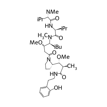 CCC(C)[C@@H]([C@@H](CC(=O)N1CCC[C@H]1[C@H](OC)[C@@H](C)C(=O)NCCc1ccccc1O)OC)N(C)C(=O)[C@@H](NC(=O)[C@@H](NC)C(C)C)C(C)C